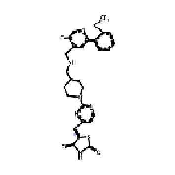 O=C1NC(=O)/C(=C/c2ccnc(N3CCC(CNCc4cc(-c5ccccc5OC(F)(F)F)ncc4F)CC3)n2)S1